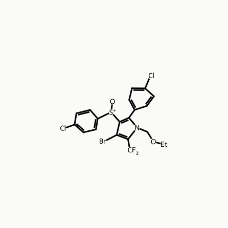 CCOCn1c(-c2ccc(Cl)cc2)c([S+]([O-])c2ccc(Cl)cc2)c(Br)c1C(F)(F)F